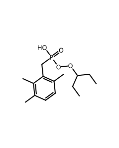 CCC(CC)OOP(=O)(O)Cc1c(C)ccc(C)c1C